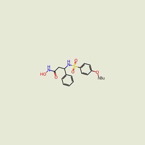 CCCCOc1ccc(S(=O)(=O)NC(CC(=O)NO)c2ccccc2)cc1